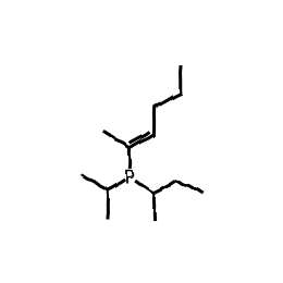 CCC/C=C(\C)P(C(C)C)C(C)CC